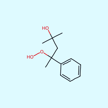 CC(C)(O)CC(C)(OO)c1ccccc1